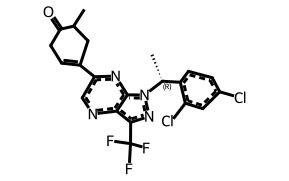 CC1CC(c2cnc3c(C(F)(F)F)nn([C@H](C)c4ccc(Cl)cc4Cl)c3n2)=CCC1=O